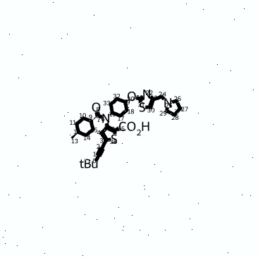 CC(C)(C)C#Cc1cc(N(C(=O)[C@H]2CC[C@H](C)CC2)[C@H]2CC[C@H](Oc3nc(CN4CCCC4)cs3)CC2)c(C(=O)O)s1